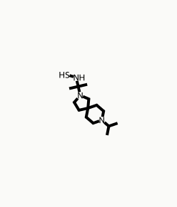 CC(C)N1CCC2(CC1)CCN(C(C)(C)NS)C2